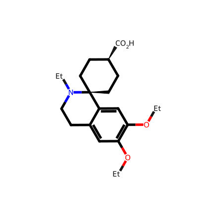 CCOc1cc2c(cc1OCC)[C@]1(CC[C@H](C(=O)O)CC1)N(CC)CC2